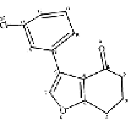 O=C1CCCc2occ(-c3cccc(Cl)c3)c21